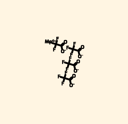 O=C([O-])C(F)(F)F.O=C([O-])C(F)(F)F.O=C([O-])C(F)(F)F.O=C([O-])C(F)(F)F.[Mo+4]